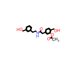 CC(=O)Oc1cc(CC(=O)NCCc2cccc(CO)c2)ccc1CO